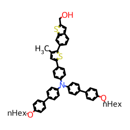 CCCCCCOc1ccc(-c2ccc(N(c3ccc(-c4ccc(OCCCCCC)cc4)cc3)c3ccc(-c4cc(C)c(-c5ccc6cc(CO)sc6c5)s4)cc3)cc2)cc1